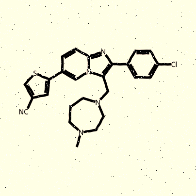 CN1CCCN(Cc2c(-c3ccc(Cl)cc3)nc3ccc(-c4cc(C#N)cs4)cn23)CC1